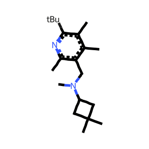 Cc1nc(C(C)(C)C)c(C)c(C)c1CN(C)C1CC(C)(C)C1